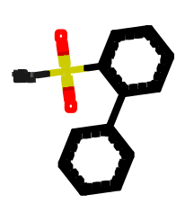 CC(C)(C)S(=O)(=O)c1ccccc1-c1ccccc1